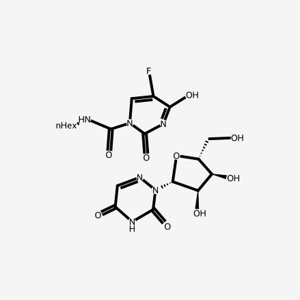 CCCCCCNC(=O)n1cc(F)c(O)nc1=O.O=c1cnn([C@@H]2O[C@H](CO)[C@@H](O)[C@H]2O)c(=O)[nH]1